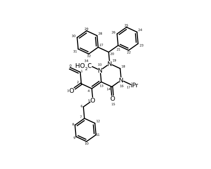 C=CC(=O)/C(OCc1ccccc1)=C1/C(=O)N(C(C)C)CN(C(c2ccccc2)c2ccccc2)N1C(=O)O